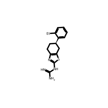 CCc1ccccc1[C@@H]1CCc2nc(NC(=N)N)sc2C1